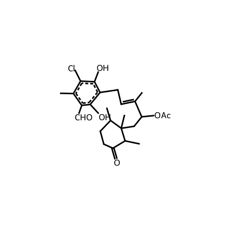 CC(=O)OC(CC1(C)C(C)CCC(=O)C1C)C(C)=CCc1c(O)c(Cl)c(C)c(C=O)c1O